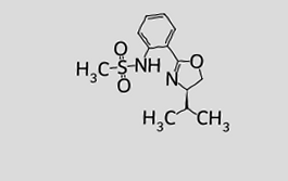 CC(C)[C@@H]1COC(c2ccccc2NS(C)(=O)=O)=N1